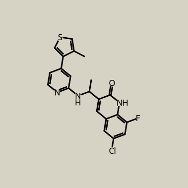 Cc1cscc1-c1ccnc(NC(C)c2cc3cc(Cl)cc(F)c3[nH]c2=O)c1